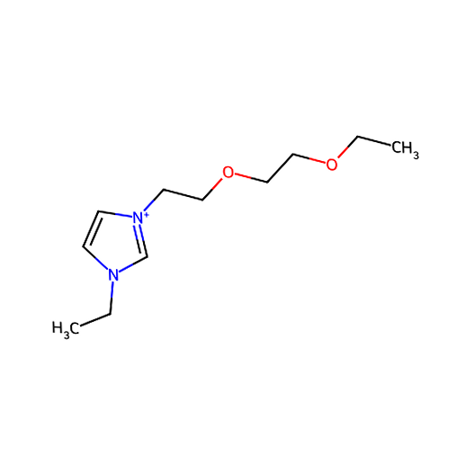 CCOCCOCC[n+]1ccn(CC)c1